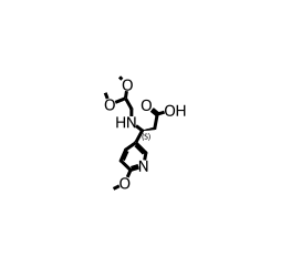 COc1ccc([C@H](CC(=O)O)NCC(OC)OC)cn1